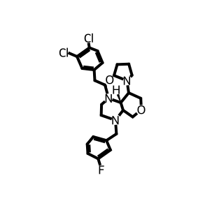 O=C(Cc1ccc(Cl)c(Cl)c1)N1CCN(Cc2cccc(F)c2)C2COCC(N3CCCC3)[C@H]21